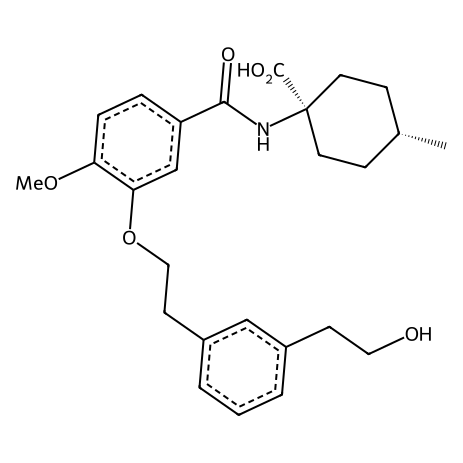 COc1ccc(C(=O)N[C@]2(C(=O)O)CC[C@@H](C)CC2)cc1OCCc1cccc(CCO)c1